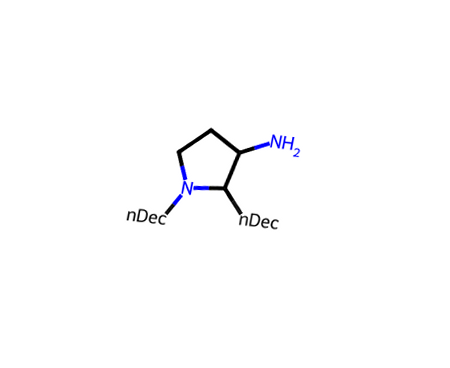 CCCCCCCCCCC1C(N)CCN1CCCCCCCCCC